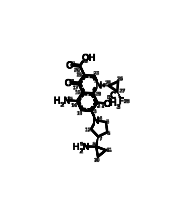 COc1c(N2CC[C@@H](C3(N)CC3)C2)cc(N)c2c(=O)c(C(=O)O)cn([C@@H]3C[C@@H]3F)c12